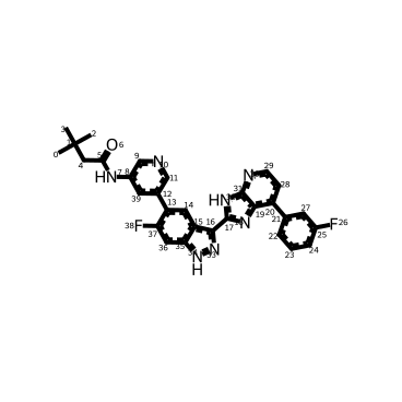 CC(C)(C)CC(=O)Nc1cncc(-c2cc3c(-c4nc5c(-c6cccc(F)c6)ccnc5[nH]4)n[nH]c3cc2F)c1